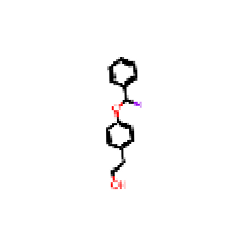 OCCc1ccc(OC(I)c2ccccc2)cc1